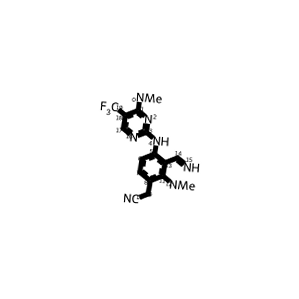 CNc1nc(Nc2ccc(CC#N)c(NC)c2C=N)ncc1C(F)(F)F